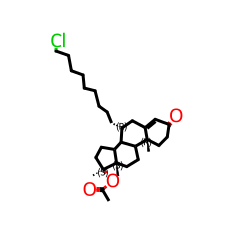 CC(=O)O[C@@]1(C)CCC2C3C(CC[C@@]21C)[C@@]1(C)CCC(=O)C=C1C[C@H]3CCCCCCCCCCl